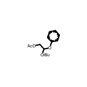 CC(=O)OCC(OCC(C)C)Oc1ccccc1